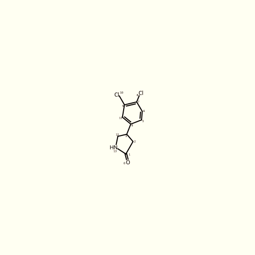 O=C1CC(c2ccc(Cl)c(Cl)c2)CN1